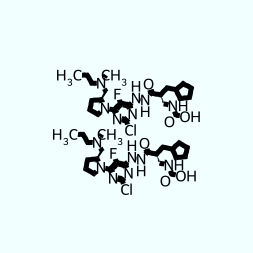 CCCN(C)C[C@@H]1CCCN1c1nc(Cl)nc(NNC(=O)[C@@H](CNC(=O)O)CC2CCCC2)c1F.CCCN(C)C[C@@H]1CCCN1c1nc(Cl)nc(NNC(=O)[C@@H](CNC(=O)O)CC2CCCC2)c1F